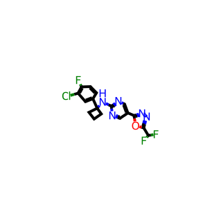 Fc1ccc(C2(Nc3ncc(-c4nnc(C(F)F)o4)cn3)CCC2)cc1Cl